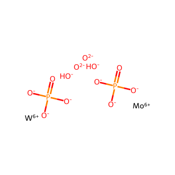 O=P([O-])([O-])[O-].O=P([O-])([O-])[O-].[Mo+6].[O-2].[O-2].[OH-].[OH-].[W+6]